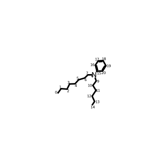 CCCCCCCCN(CCCCCC)c1ccccc1